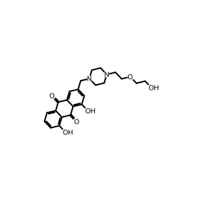 O=C1c2cccc(O)c2C(=O)c2c(O)cc(CN3CCN(CCOCCO)CC3)cc21